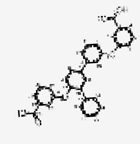 O=C(O)c1cccc(Oc2cccc(-c3ccc(Oc4cccc(C(=O)O)c4)c(-c4ccccc4)c3)c2)c1